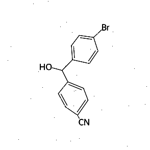 N#Cc1ccc(C(O)c2ccc(Br)cc2)cc1